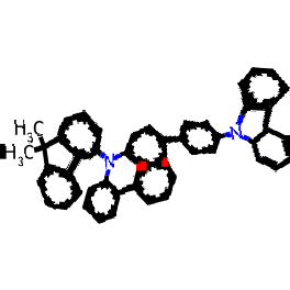 CC1(C)c2ccccc2-c2c(N(c3ccc(-c4ccc(N5c6ccccc6C6C=CC=CC65)cc4)cc3)c3ccccc3-c3ccccc3)cccc21